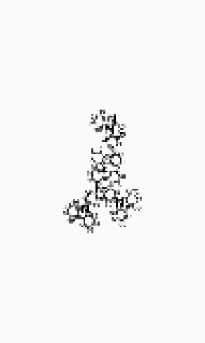 c1ccc([Si](c2ccccc2)(c2cccc(-c3ccc4c(c3)SCc3nc5ccccc5n3-4)c2)c2cccc(-n3c4ccc(-n5c6ccccc6c6ccccc65)cc4c4cc(-n5c6ccccc6c6ccccc65)ccc43)c2)cc1